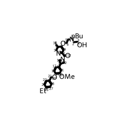 CCCCN(CCO)CCOC1=CC(C(=O)N2CC(c3ccc(OCc4ccc(CC)cc4)c(OC)c3)C2)=NCC1I